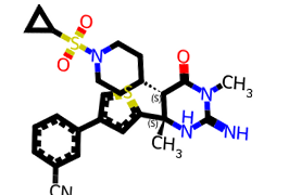 CN1C(=N)N[C@](C)(c2cc(-c3cccc(C#N)c3)cs2)[C@H](C2CCN(S(=O)(=O)C3CC3)CC2)C1=O